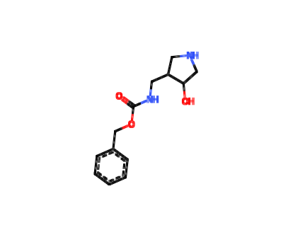 O=C(NCC1CNCC1O)OCc1ccccc1